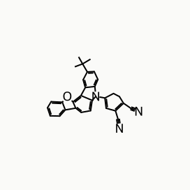 CC(C)(C)c1ccc2c(c1)c1c3oc4ccccc4c3ccc1n2C1=CC(C#N)=C(C#N)CC1